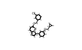 Clc1cccc(COc2ccc3ncc(-c4cccc(OCC5CC5)c4)n3n2)c1